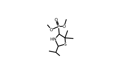 COP(=O)(OC)C1NC(C(C)C)SC1(C)C